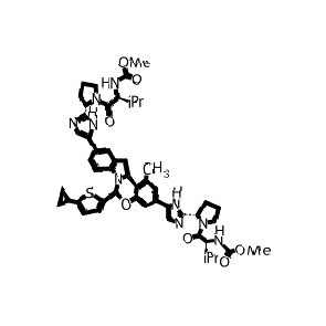 COC(=O)N[C@H](C(=O)N1CCC[C@H]1c1ncc(-c2cc(C)c3c(c2)OC(c2ccc(C4CC4)s2)n2c-3cc3cc(-c4cnc([C@@H]5CCCN5C(=O)[C@@H](NC(=O)OC)C(C)C)[nH]4)ccc32)[nH]1)C(C)C